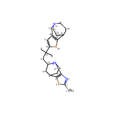 CC(C)(C)c1nc2c(s1)C1CCN(C2)C(CC(C)(C)c2cc3c(s2)C2CCN(CC2)C3)C1